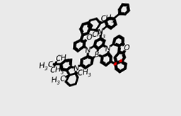 CC(C)(C)c1ccc2c(c1)C1(C)CCCCC1(C)N2c1ccc2c(c1)N(c1cccc3c1oc1ccccc13)c1cc(N3c4ccc(-c5ccccc5)cc4C4(C)CCCCC34C)cc3c1B2c1ccc(-c2ccccc2)cc1N3c1cccc2oc3ccccc3c12